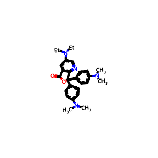 CCN(CC)c1cnc2c(c1)C(=O)OC2(c1ccc(N(C)C)cc1)c1ccc(N(C)C)cc1